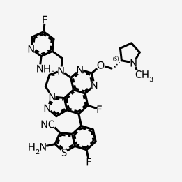 CN1CCC[C@H]1COc1nc2c3c(n1)c(F)c(-c1ccc(F)c4sc(N)c(C#N)c14)c1cnn(c13)CCN2Cc1cc(F)cnc1N